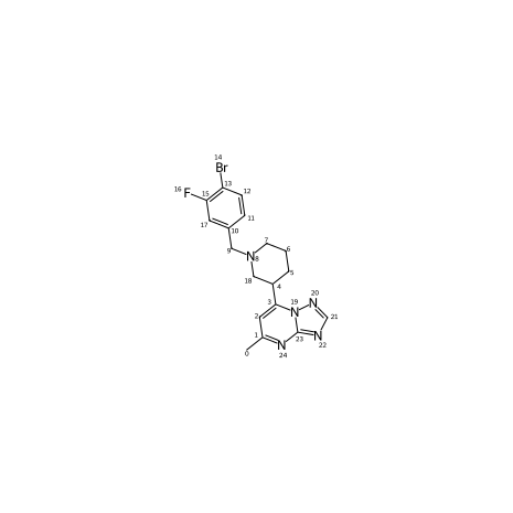 Cc1cc(C2CCCN(Cc3ccc(Br)c(F)c3)C2)n2ncnc2n1